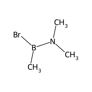 CB(Br)N(C)C